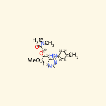 COc1cc2ncnc(Nc3ccc(C)cc3)c2cc1OCC(=O)N(C)C